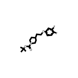 CC(C)(C)OC(=O)N1CCC(CCOc2ccc(F)c(F)c2)CC1